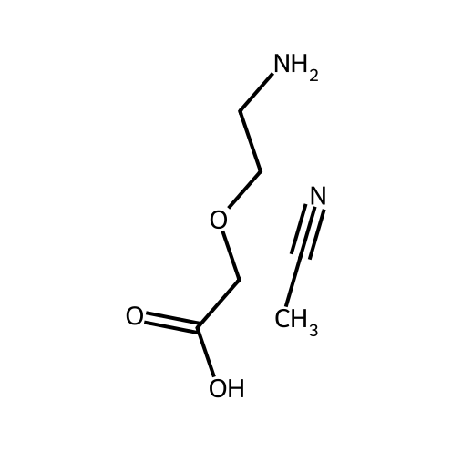 CC#N.NCCOCC(=O)O